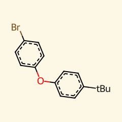 CC(C)(C)c1ccc(Oc2ccc(Br)cc2)cc1